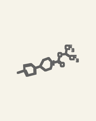 Cc1ccc(C2CCN(C(=O)OC(C(F)(F)F)C(F)(F)F)CC2)cc1